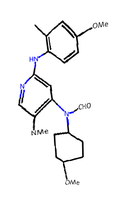 CNc1cnc(Nc2ccc(OC)cc2C)cc1N(C=O)C1CCC(OC)CC1